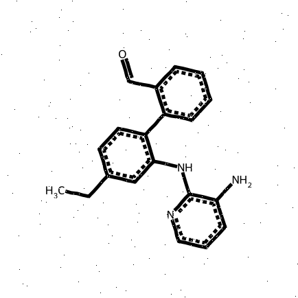 CCc1ccc(-c2ccccc2C=O)c(Nc2ncccc2N)c1